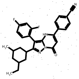 CCC1CC(C)CC(c2nn3c(=O)cc(-c4ccc(C#N)cc4)[nH]c3c2-c2ccc(F)cc2F)C1